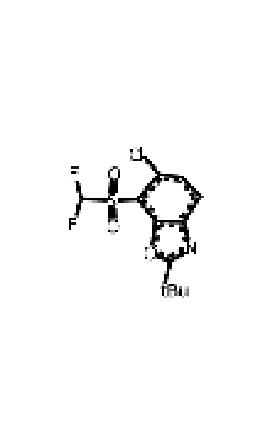 CC(C)(C)c1nc2ccc(Cl)c(S(=O)(=O)C(F)F)c2o1